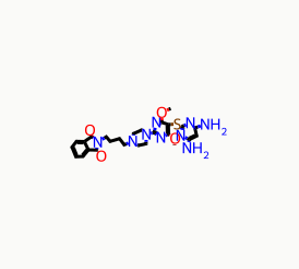 COc1nc(N2CCN(CCCCN3C(=O)c4ccccc4C3=O)CC2)nc(OC)c1Sc1nc(N)cc(N)n1